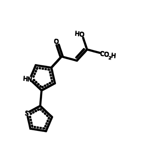 O=C(O)C(O)=CC(=O)c1c[nH]c(-c2cccs2)c1